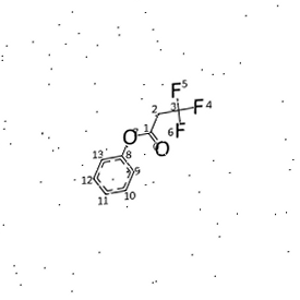 O=C(CC(F)(F)F)Oc1[c]cccc1